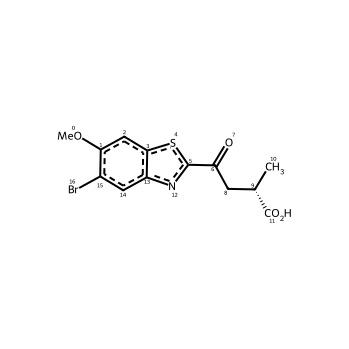 COc1cc2sc(C(=O)C[C@H](C)C(=O)O)nc2cc1Br